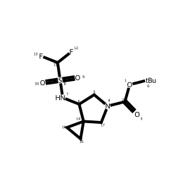 CC(C)(C)OC(=O)N1CC(NS(=O)(=O)C(F)F)C2(CC2)C1